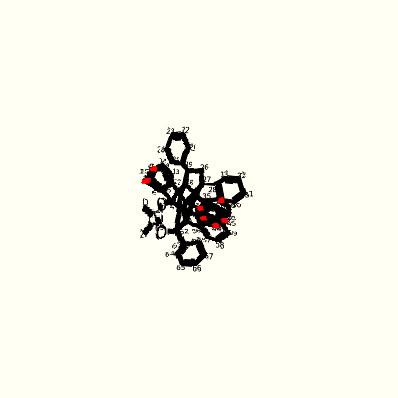 C[Si]1(C)OC2(c3ccccc3)C3(c4ccccc4)C4C5(c6ccccc6)C[C@@]6(c7ccccc7)C4(c4ccccc4)C3(c3ccccc3)C2(c2ccccc2)C6(c2ccccc2)C5(c2ccccc2)O1